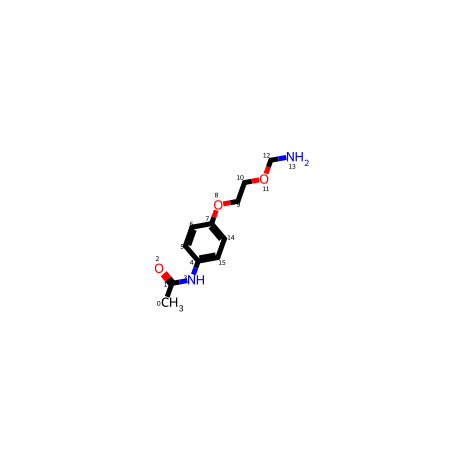 CC(=O)Nc1ccc(OCCOCN)cc1